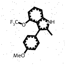 COc1ccc(-c2c(C)[nH]c3cccc(OC(F)(F)F)c23)cc1